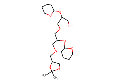 CC1(C)OCC(COCC(COCC(CO)OC2CCCCO2)OC2CCCCO2)O1